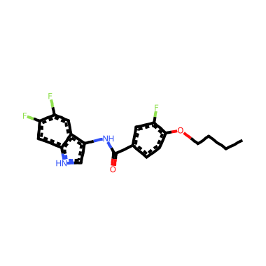 CCCCOc1ccc(C(=O)Nc2c[nH]c3cc(F)c(F)cc23)cc1F